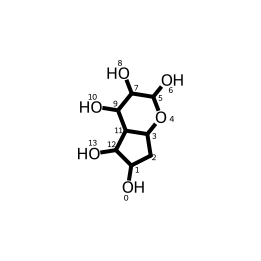 OC1CC2OC(O)C(O)C(O)C2C1O